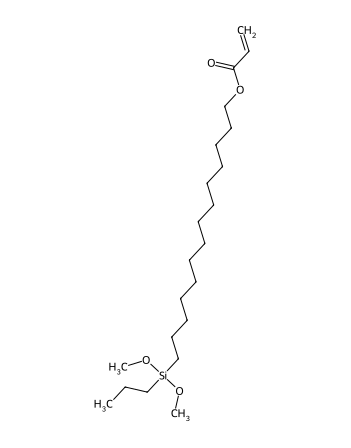 C=CC(=O)OCCCCCCCCCCCCCC[Si](CCC)(OC)OC